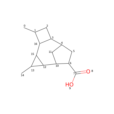 CC1CC2C3CC(C(=O)O)C(C3)C3C(C)C3C12